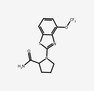 NC(=O)C1CCCN1c1nc2c(OC(F)(F)F)cccc2s1